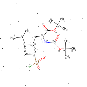 CC(C)c1ccc(S(=O)(=O)Cl)cc1C[C@H](NC(=O)OC(C)(C)C)C(=O)OC(C)(C)C